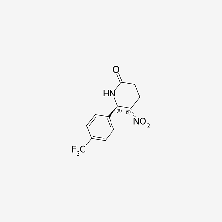 O=C1CC[C@H]([N+](=O)[O-])[C@@H](c2ccc(C(F)(F)F)cc2)N1